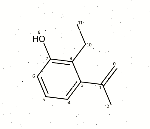 C=C(C)c1cccc(O)c1CC